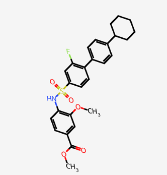 COC(=O)c1ccc(NS(=O)(=O)c2ccc(-c3ccc(C4CCCCC4)cc3)c(F)c2)c(OC)c1